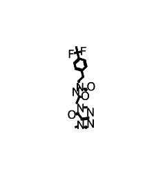 Cn1cnc2ncn(Cc3nn(CCc4ccc(C(C)(F)F)cc4)c(=O)o3)c(=O)c21